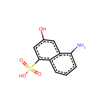 Nc1cccc2c(S(=O)(=O)O)cc(O)cc12